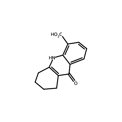 O=C(O)c1cccc2c(=O)c3c([nH]c12)CCCC3